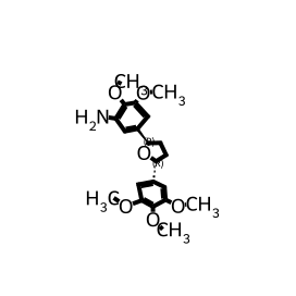 COc1cc([C@H]2CC[C@H](c3cc(OC)c(OC)c(OC)c3)O2)cc(N)c1OC